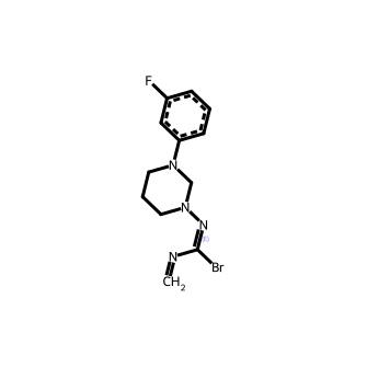 C=N/C(Br)=N\N1CCCN(c2cccc(F)c2)C1